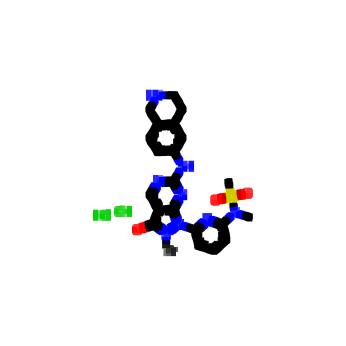 CC(C)n1c(=O)c2cnc(Nc3ccc4c(c3)CCNC4)nc2n1-c1cccc(N(C)S(C)(=O)=O)n1.Cl.Cl